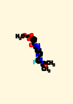 COCCS(=O)(=O)c1cccc(C(=O)NCc2cc3nc(-c4cc(F)cc(N5C[C@@H](C)O[C@@H](C)C5)n4)ccc3cn2)c1